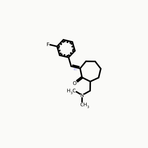 CN(C)CC1CCCC/C(=C\c2cccc(F)c2)C1=O